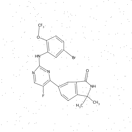 CC1(C)NC(=O)c2cc(-c3nc(Nc4cc(Br)ccc4OC(F)(F)F)ncc3F)ccc21